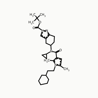 Cc1cc(C(=O)N(C2CC2)C2CCc3nn(C(=O)OC(C)(C)C)cc3C2)c(C)n1CCC1CCCCC1